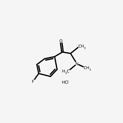 CC(C(=O)c1ccc(F)cc1)N(C)C.Cl